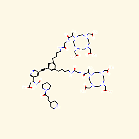 CC(C(=O)NCC(=O)NCCCCc1cc(C#Cc2cncc([C@H](CC(=O)O)NC(=O)[C@@H]3CCCN(C(=O)CCC4CCNCC4)C3)c2)cc(CCCCNC(=O)CNC(=O)C(C)N2CCN(CC(=O)O)CCN(CC(=O)O)CCN(CC(=O)O)CC2)c1)N1CCN(CC(=O)O)CCN(CC(=O)O)CCN(CC(=O)O)CC1